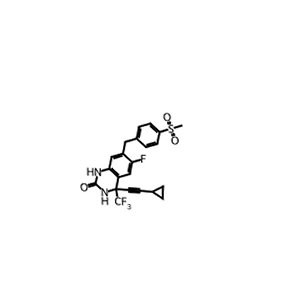 CS(=O)(=O)c1ccc(Cc2cc3c(cc2F)C(C#CC2CC2)(C(F)(F)F)NC(=O)N3)cc1